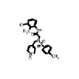 Cc1ccc(S(=O)(=O)N(CC(=O)Nc2cccc(Cl)c2C)Cc2cc[n+]([O-])cc2)cc1